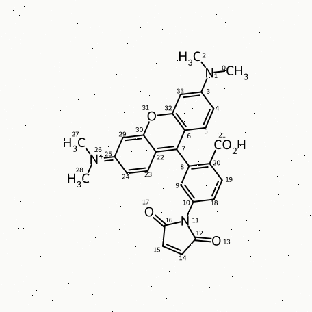 CN(C)c1ccc2c(-c3cc(N4C(=O)C=CC4=O)ccc3C(=O)O)c3ccc(=[N+](C)C)cc-3oc2c1